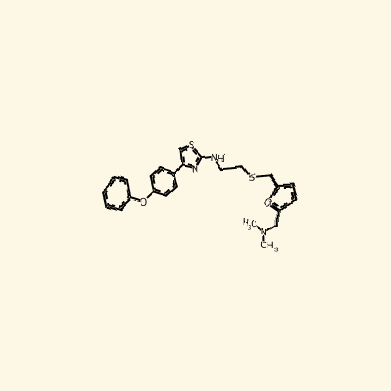 CN(C)Cc1ccc(CSCCNc2nc(-c3ccc(Oc4ccccc4)cc3)cs2)o1